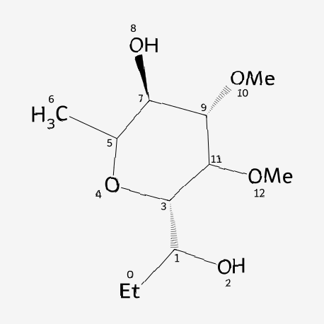 CCC(O)[C@@H]1OC(C)[C@@H](O)[C@H](OC)C1OC